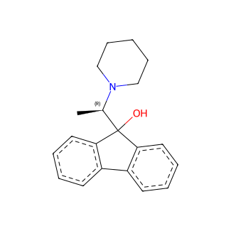 C[C@@H](N1CCCCC1)C1(O)c2ccccc2-c2ccccc21